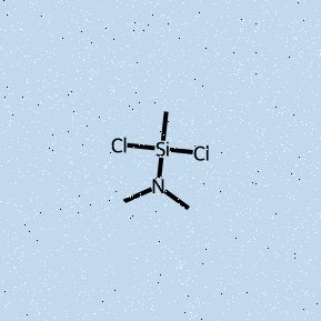 CN(C)[Si](C)(Cl)Cl